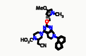 CO[C@@H]1C[C@@H](COc2nc3c(c(N4CCN(C(=O)O)C(CC#N)C4)n2)CCN(c2cccc4ccccc24)C3)N(C)C1